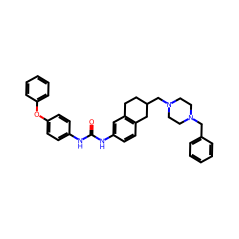 O=C(Nc1ccc(Oc2ccccc2)cc1)Nc1ccc2c(c1)CCC(CN1CCN(Cc3ccccc3)CC1)C2